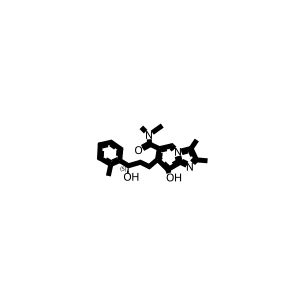 Cc1ccccc1[C@@H](O)CCc1c(C(=O)N(C)C)cn2c(C)c(C)nc2c1O